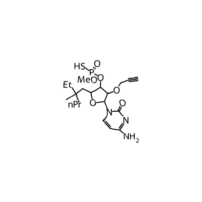 C#CCOC1C(OP(=O)(S)OC)C(CC(C)(CC)CCC)OC1n1ccc(N)nc1=O